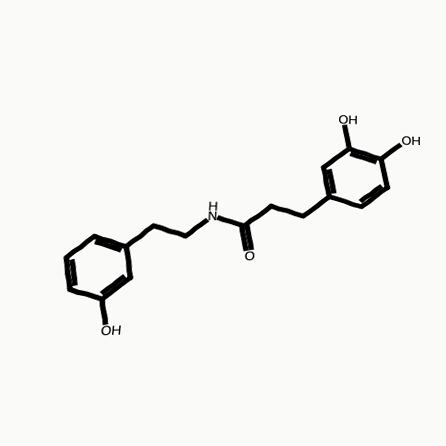 O=C(CCc1ccc(O)c(O)c1)NCCc1cccc(O)c1